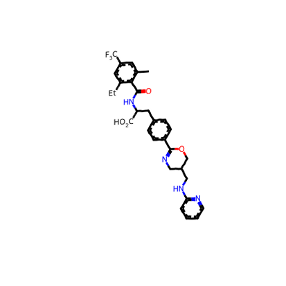 CCc1cc(C(F)(F)F)cc(C)c1C(=O)NC(Cc1ccc(C2=NCC(CNc3ccccn3)CO2)cc1)C(=O)O